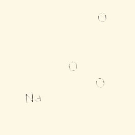 CCC(=O)OOC.[Na]